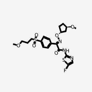 COCCCS(=O)(=O)c1ccc(/C(=N\O[C@@H]2CC[C@@H](OC)C2)C(=O)Nc2ncc(F)s2)cc1